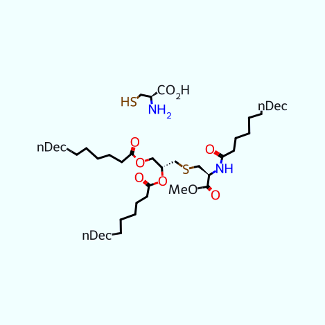 CCCCCCCCCCCCCCCC(=O)N[C@H](CSC[C@@H](COC(=O)CCCCCCCCCCCCCCC)OC(=O)CCCCCCCCCCCCCCC)C(=O)OC.N[C@@H](CS)C(=O)O